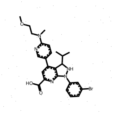 COCCN(C)c1ccc(-c2cc(C(=O)O)nc3c2C(C(C)C)NN3c2cccc(Br)c2)cn1